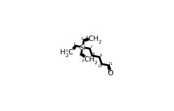 C=C[Si](C=C)(C=C)CCCCC=O